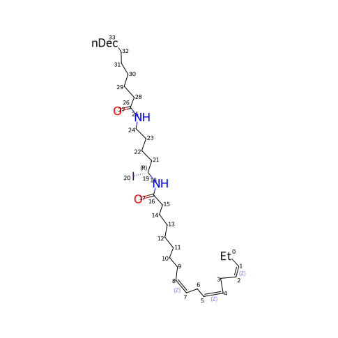 CC/C=C\C/C=C\C/C=C\CCCCCCCC(=O)N[C@H](I)CCCCNC(=O)CCCCCCCCCCCCCCC